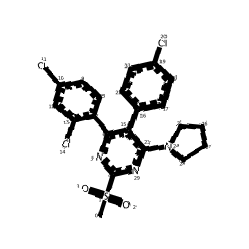 CS(=O)(=O)c1nc(-c2ccc(Cl)cc2Cl)c(-c2ccc(Cl)cc2)c(N2CCCC2)n1